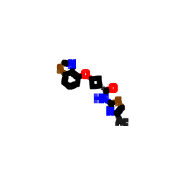 CC(=O)c1csc(NC(=O)[C@H]2C[C@H](Oc3cccc4scnc34)C2)n1